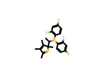 CC1=PC(C)(C(C)P(c2ccc(F)cc2F)c2ccc(F)cc2F)C(C)=C1C